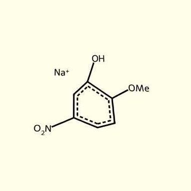 COc1ccc([N+](=O)[O-])cc1O.[Na+]